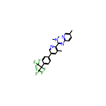 Cc1ccc(/N=C(/c2ncc(-c3ccc(C(F)(C(F)(F)F)C(F)(F)F)cc3)cc2C)N(C)C)nc1